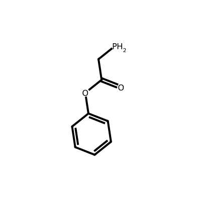 O=C(CP)Oc1ccccc1